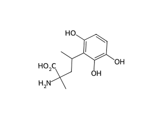 CC(CC(C)(N)C(=O)O)c1c(O)ccc(O)c1O